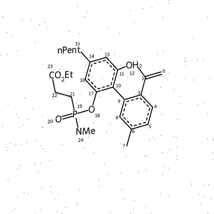 C=C(C)c1ccc(C)cc1-c1c(O)cc(CCCCC)cc1OP(=O)(CCC(=O)OCC)NC